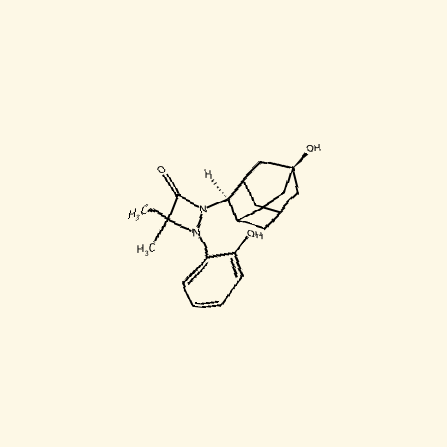 CC1(C)C(=O)N([C@H]2C3CC4CC2C[C@@](O)(C4)C3)N1c1ccccc1O